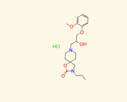 CCCN1CC2(CCN(CC(O)COc3ccccc3OC)CC2)OC1=O.Cl